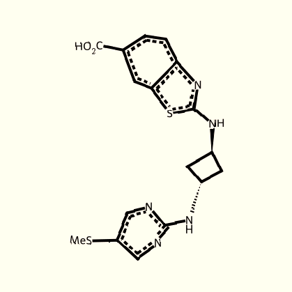 CSc1cnc(N[C@H]2C[C@H](Nc3nc4ccc(C(=O)O)cc4s3)C2)nc1